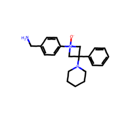 NCc1ccc([N+]2([O-])CC(c3ccccc3)(N3CCCCC3)C2)cc1